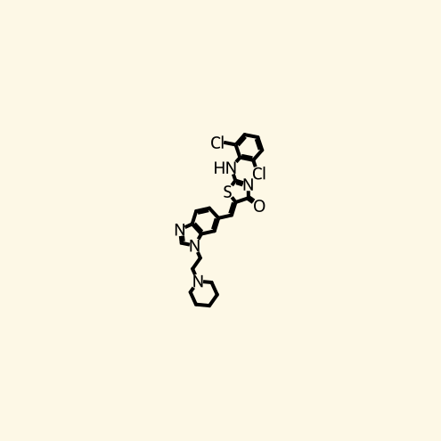 O=C1N=C(Nc2c(Cl)cccc2Cl)S/C1=C\c1ccc2ncn(CCN3CCCCC3)c2c1